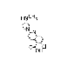 CN[C@@H]1CCN(c2ccc3c(C(=O)O)c(Cl)ccc3n2)C1